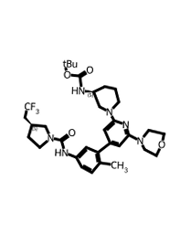 Cc1ccc(NC(=O)N2CC[C@@H](CC(F)(F)F)C2)cc1-c1cc(N2CCOCC2)nc(N2CCC[C@H](NC(=O)OC(C)(C)C)C2)c1